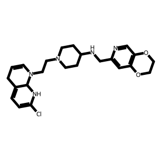 ClC1=CC=C2CC=CN(CCN3CCC(NCc4cc5c(cn4)OCCO5)CC3)C2N1